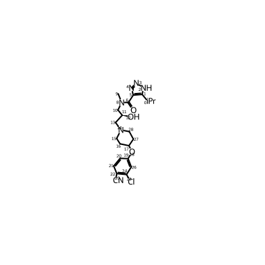 CC(C)c1[nH]nnc1C(=O)N(C)C[C@@H](O)CN1CCC(Oc2ccc(C#N)c(Cl)c2)CC1